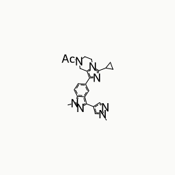 CC(=O)N1CCn2c(C3CC3)nc(-c3ccc4c(c3)c(-c3cnn(C)c3)nn4C)c2C1